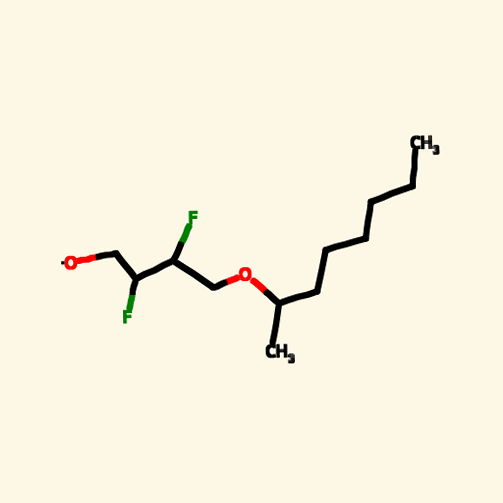 CCCCCCC(C)OCC(F)C(F)C[O]